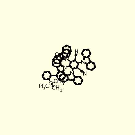 C[Si](C)(C)c1ccccc1-c1cccc2c1c1ccc3oc4ccccc4c3c1n2-c1c(-n2c3ccccc3c3ccccc32)c(C#N)c(-n2c3ccccc3c3ccccc32)c(C#N)c1-n1c2ccccc2c2ccccc21